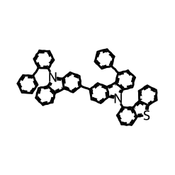 c1ccc(-c2ccccc2-n2c3ccccc3c3cc(-c4ccc5c(c4)c4c(-c6ccccc6)cccc4n5-c4cccc5sc6ccccc6c45)ccc32)cc1